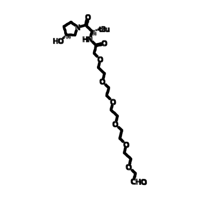 CC(C)(C)[C@H](NC(=O)COCCOCCOCCOCCOCCOCC=O)C(=O)N1CC[C@@H](O)C1